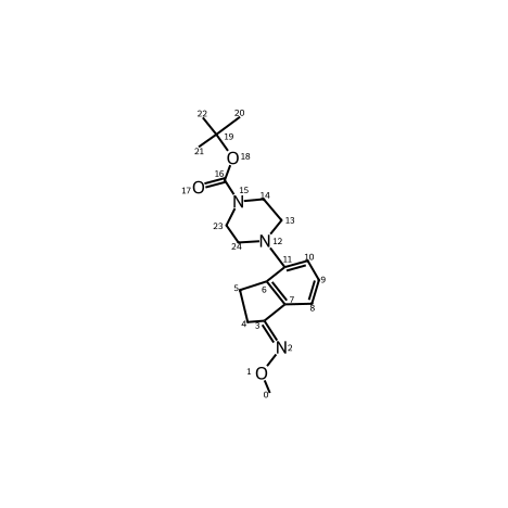 CON=C1CCc2c1cccc2N1CCN(C(=O)OC(C)(C)C)CC1